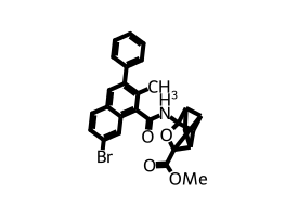 COC(=O)C12OC3(NC(=O)c4c(C)c(-c5ccccc5)cc5ccc(Br)cc45)C4CC1C3C42